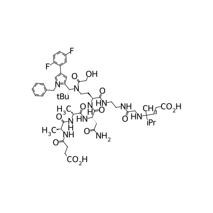 CC(C)C(C)(CCC(=O)O)NCC(=O)NCCNC(=O)[C@H](CCN(C(=O)CO)[C@@H](c1cc(-c2cc(F)ccc2F)cn1Cc1ccccc1)C(C)(C)C)NC(=O)[C@H](CC(N)=O)NC(=O)[C@H](C)NC(=O)[C@H](C)NC(=O)CCC(=O)O